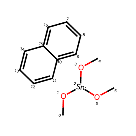 C[O][Sn]([O]C)[O]C.c1ccc2ccccc2c1